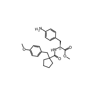 COC(=O)[C@H](Cc1ccc(N)cc1)NC(=O)C1(Cc2ccc(OC)cc2)CCCC1